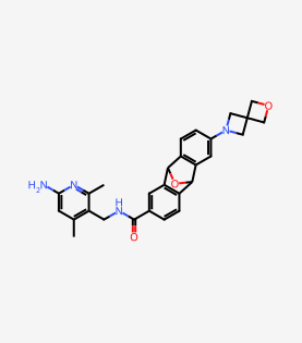 Cc1cc(N)nc(C)c1CNC(=O)c1ccc2c(c1)C1OC2c2cc(N3CC4(COC4)C3)ccc21